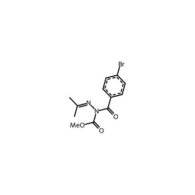 COC(=O)N(N=C(C)C)C(=O)c1ccc(Br)cc1